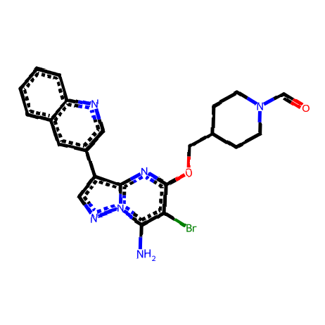 Nc1c(Br)c(OCC2CCN(C=O)CC2)nc2c(-c3cnc4ccccc4c3)cnn12